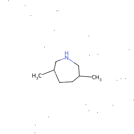 CC1CCC(C)CNC1